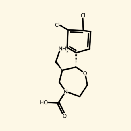 NC[C@@H]1CN(C(=O)O)CCO[C@H]1c1ccc(Cl)c(Cl)c1